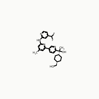 Cc1cc(Nc2cc(C(F)F)ccn2)nc(-c2ccc(C(C)(O)[C@H]3CC[C@H](CO)CC3)nc2)c1